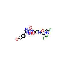 O=C1Cc2ccc(-c3cnc4c(=O)n(CC5(O)CCN(C(=O)CC(C(F)F)n6ccc(F)n6)CC5)cnn34)cc2C1